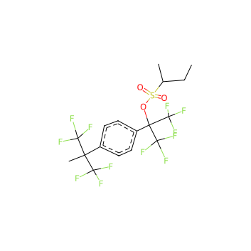 CCC(C)S(=O)(=O)OC(c1ccc(C(C)(C(F)(F)F)C(F)(F)F)cc1)(C(F)(F)F)C(F)(F)F